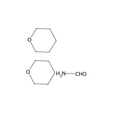 C1CCOCC1.C1CCOCC1.NC=O